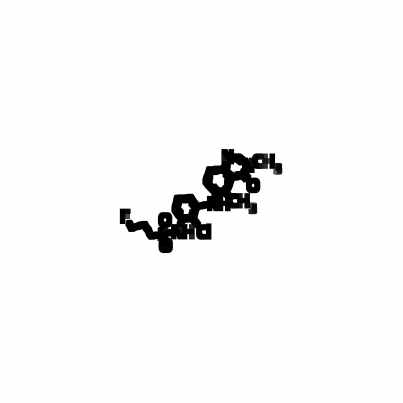 Cc1c(Nc2cccc(NS(=O)(=O)CCCF)c2Cl)ccc2ncn(C)c(=O)c12